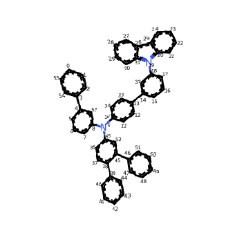 c1ccc(-c2cccc(N(c3ccc(-c4cccc(-n5c6ccccc6c6ccccc65)c4)cc3)c3ccc(-c4ccccc4)c(-c4ccccc4)c3)c2)cc1